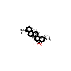 CC1(C)CC[C@]2(C(=O)O)CC[C@]3(C)C(=CCC4[C@@]5(C)CCCC(C)(C)C5CC[C@]43C)C2C1